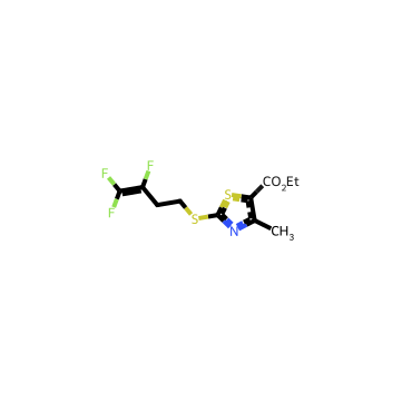 CCOC(=O)c1sc(SCCC(F)=C(F)F)nc1C